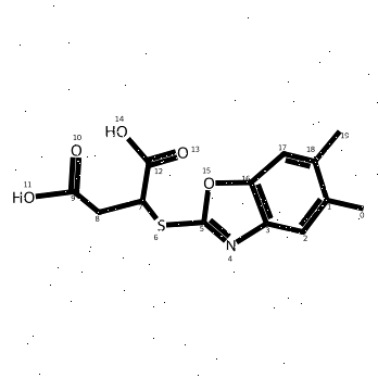 Cc1cc2nc(SC(CC(=O)O)C(=O)O)oc2cc1C